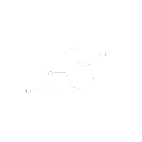 Cc1ccc2cc(C=O)[nH]c2c1C